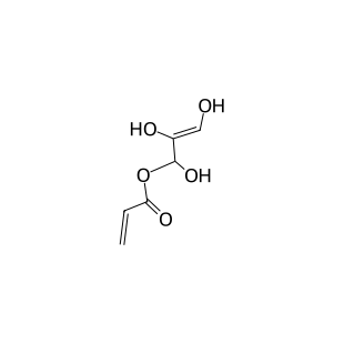 C=CC(=O)OC(O)C(O)=CO